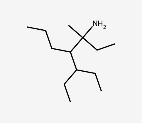 CCCC(C(CC)CC)C(C)(N)CC